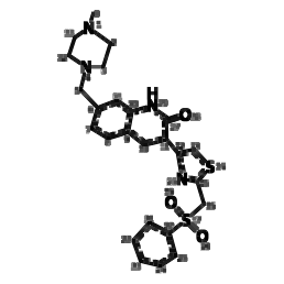 CN1CCN(Cc2ccc3cc(-c4csc(CS(=O)(=O)c5ccccc5)n4)c(=O)[nH]c3c2)CC1